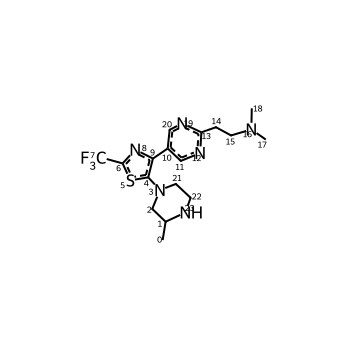 CC1CN(c2sc(C(F)(F)F)nc2-c2cnc(CCN(C)C)nc2)CCN1